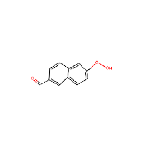 O=Cc1ccc2cc(OO)ccc2c1